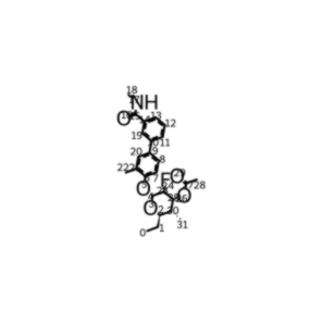 CC[C@H]1O[C@H](Oc2ccc(-c3cccc(C(=O)NC)c3)cc2C)[C@@H](F)[C@@H](OC(C)=O)[C@@H]1C